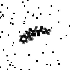 [2H]C([2H])(NC(=O)[C@@H](C)NC(=O)OC(C)(C)C)c1ccccc1